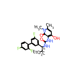 CCOC(=O)C[C@H](NC(=O)Nc1c(O)cc(C)n(C)c1=O)c1cc(F)cc(-c2ccc(F)cc2F)c1